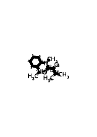 CNC1CCCCC1N(C)C(=O)C(=O)C(C)C